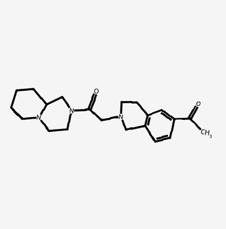 CC(=O)c1ccc2c(c1)CCN(CC(=O)N1CCN3CCCCC3C1)C2